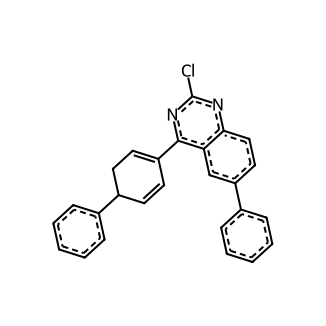 Clc1nc(C2=CCC(c3ccccc3)C=C2)c2cc(-c3ccccc3)ccc2n1